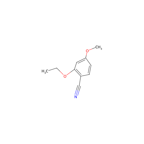 CCOc1cc(OC)ccc1C#N